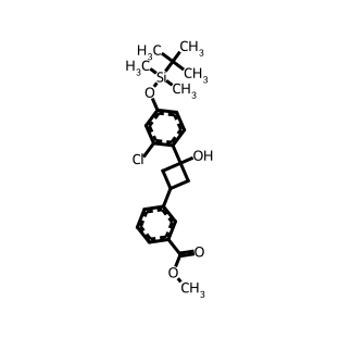 COC(=O)c1cccc(C2CC(O)(c3ccc(O[Si](C)(C)C(C)(C)C)cc3Cl)C2)c1